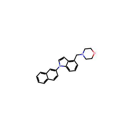 c1ccc2cc(-n3ccc4c(CN5CCOCC5)cccc43)ccc2c1